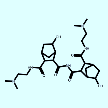 CN(C)CCNC(=O)C1C2CC(O)C(C2)C1C(=O)NC(=O)C1C2CC(CC2O)C1C(=O)NCCN(C)C